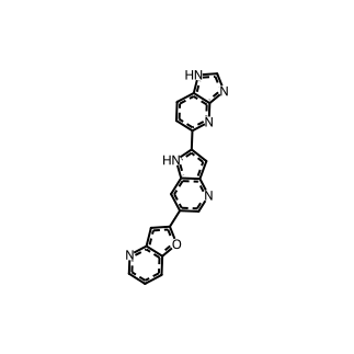 c1cnc2cc(-c3cnc4cc(-c5ccc6[nH]cnc6n5)[nH]c4c3)oc2c1